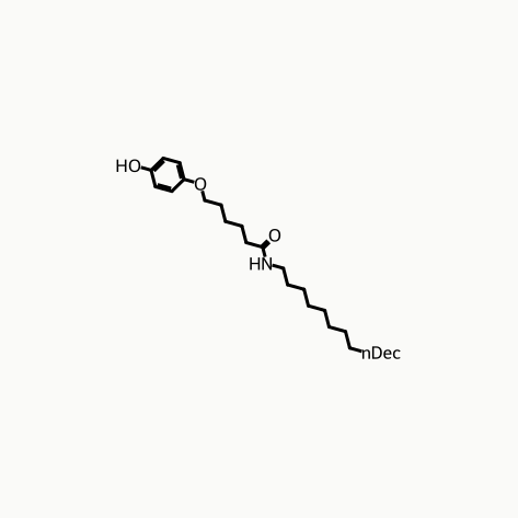 CCCCCCCCCCCCCCCCCCNC(=O)CCCCCOc1ccc(O)cc1